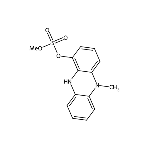 COS(=O)(=O)Oc1cccc2c1Nc1ccccc1N2C